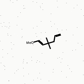 C=CCC(C)(C)C=COC